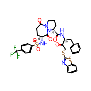 O=C(CSc1nc2ccccc2s1)[C@H](Cc1ccccc1)NC(=O)[C@@H]1CCCN2C(=O)CC[C@H](NS(=O)(=O)c3ccc(C(F)(F)F)cc3)C(=O)N12